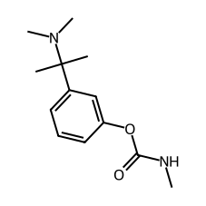 CNC(=O)Oc1cccc(C(C)(C)N(C)C)c1